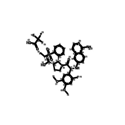 CCS(=O)(=O)c1ccccc1[C@H]1[C@@H](C(=O)O)CCN1C(=O)[C@H](Nc1ccc2c(N)nccc2c1)c1cc(OC)c(OC)cc1F.O=C(O)C(F)(F)F